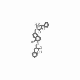 Cc1c(C(=O)N(C)Cc2ccc3c(Br)c(OCC(Cc4ccccc4)C(=O)O)ccc3c2)oc2ccccc12